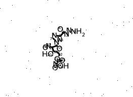 NN=NC(=O)c1ncn(C2OC(COP(=O)(O)N=O)C(O)C2N=O)n1